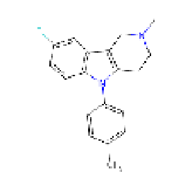 CN1CCc2c(c3cc(F)ccc3n2-c2ccc(C(F)(F)F)cc2)C1